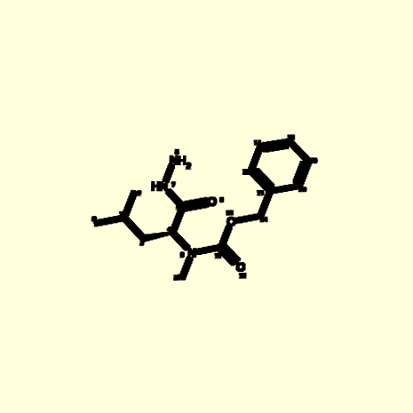 CC(C)C[C@@H](C(=O)NN)N(C)C(=O)OCc1ccccc1